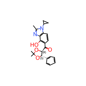 Cc1nc2c(O)c(C(=O)[C@@H]3OC(C)(C)O[C@H]3c3ccccc3)ccc2n1C1CC1